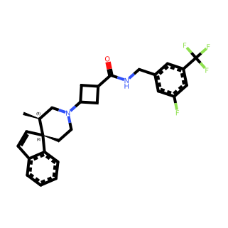 C[C@H]1CN(C2CC(C(=O)NCc3cc(F)cc(C(F)(F)F)c3)C2)CC[C@@]12C=Cc1ccccc12